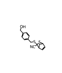 N#CC1(SCc2ccc(CO)cc2)SC2C=CC1C2